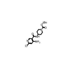 CC(C)(C)OC(=O)N1CCC(NC(=O)c2cnc(Cl)cc2N)CC1